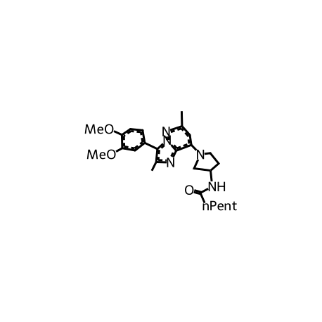 CCCCCC(=O)NC1CCN(c2cc(C)nn3c(-c4ccc(OC)c(OC)c4)c(C)nc23)C1